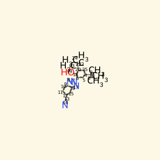 CC(C)(C)c1cc(-n2nc3ccc(C#N)cc3n2)c(O)c(C(C)(C)C)c1